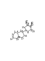 CC1CCC2CC(C3CC(C)C(F)C(F)C3)CCC2C1